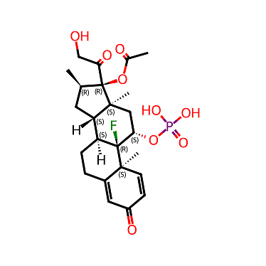 CC(=O)O[C@]1(C(=O)CO)[C@H](C)C[C@H]2[C@@H]3CCC4=CC(=O)C=C[C@]4(C)[C@@]3(F)[C@@H](OP(=O)(O)O)C[C@@]21C